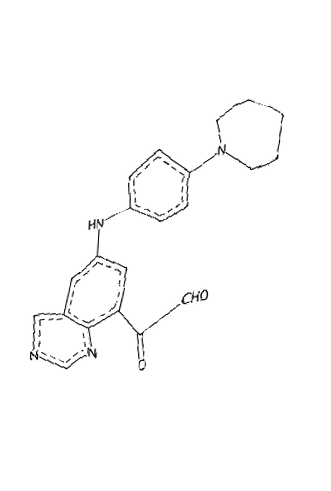 O=CC(=O)c1cc(Nc2ccc(N3CCCCC3)cc2)cc2cncnc12